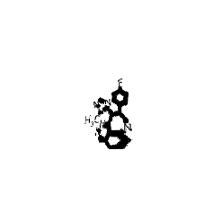 Cn1ncnc1C1c2nncc3cccc(c23)N=CC1c1ccc(F)cc1